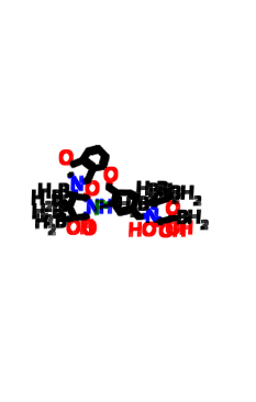 BC1(B)OC(B)(O)C(O)(O)N(Cc2ccc(COc3cccc(C=O)c3CN(C)C3(B)C(=O)NC(=O)C(B)(O)C3(B)B)c(F)c2)C1(B)B